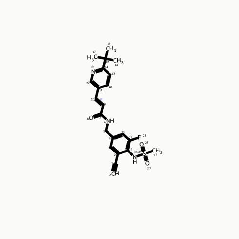 C#Cc1cc(CNC(=O)/C=C/c2ccc(C(C)(C)C)nc2)cc(F)c1NS(C)(=O)=O